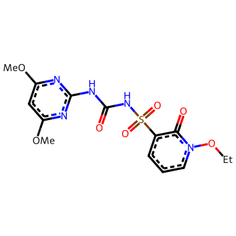 CCOn1cccc(S(=O)(=O)NC(=O)Nc2nc(OC)cc(OC)n2)c1=O